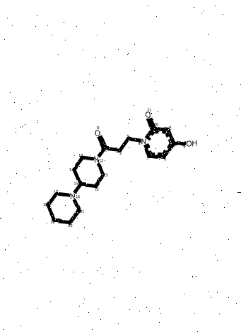 O=C([CH]Cn1ccc(O)cc1=O)N1CCC(N2CCCCC2)CC1